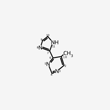 Cc1cn[c]nc1-c1ncc[nH]1